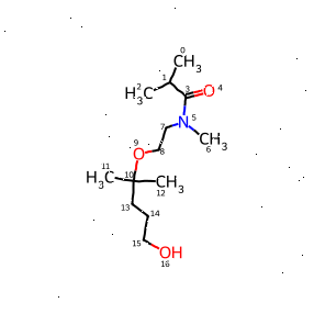 CC(C)C(=O)N(C)CCOC(C)(C)CCCO